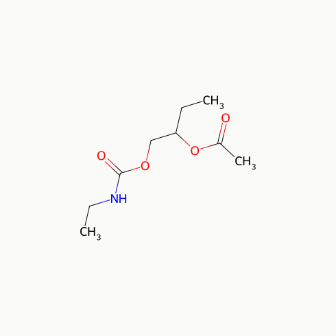 CCNC(=O)OCC(CC)OC(C)=O